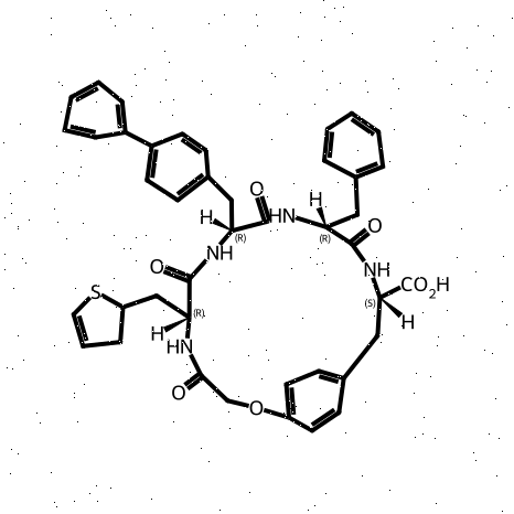 O=C1COc2ccc(cc2)C[C@@H](C(=O)O)NC(=O)[C@@H](Cc2ccccc2)NC(=O)[C@@H](Cc2ccc(-c3ccccc3)cc2)NC(=O)[C@@H](CC2CC=CS2)N1